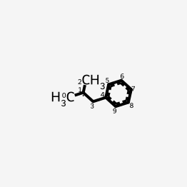 C[C](C)Cc1cc[c]cc1